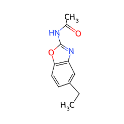 CCc1ccc2oc(NC(C)=O)nc2c1